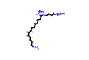 CONCCCCN1N=NNC1CCCCCCC/C=C\CCCCN